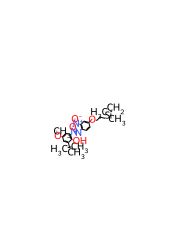 C=C[Si](C)(C)CCCOc1ccc(N=Nc2cc(OC)cc(C(C)(C)C)c2O)c([N+](=O)[O-])c1